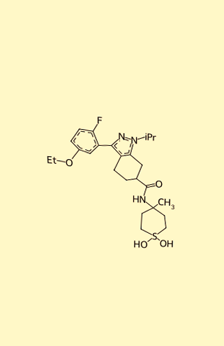 CCOc1ccc(F)c(-c2nn(C(C)C)c3c2CCC(C(=O)NC2(C)CCS(O)(O)CC2)C3)c1